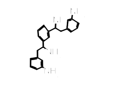 Nc1cccc(CC(N)c2cccc(C(N)Cc3cccc(N)c3)c2)c1